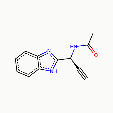 C#C[C@H](NC(C)=O)c1nc2ccccc2[nH]1